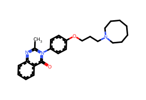 Cc1nc2ccccc2c(=O)n1-c1ccc(OCCCN2CCCCCCC2)cc1